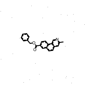 Cc1cc2ccc3cc(C(=O)OCc4ccccc4)ccc3c2cn1